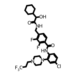 O=C(Nc1ccc(Cl)cc1N1CCN(CCC(F)(F)F)CC1)c1ccc(CNC(=O)C(O)C2CCCCC2)c(F)c1F